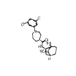 N#CN1[C@H]2CC[C@H]1[C@H](NC(=O)[C@H]1CCCN(c3cc(Cl)cc(Cl)c3)CC1)C2